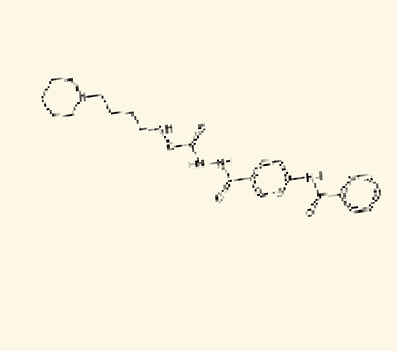 O=C(NNC(=S)ONCCCCN1CCCCC1)c1ccc(NC(=O)c2ccccc2)cc1